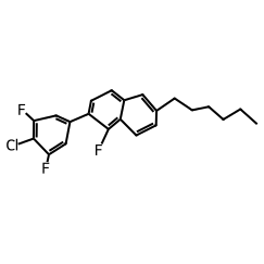 CCCCCCc1ccc2c(F)c(-c3cc(F)c(Cl)c(F)c3)ccc2c1